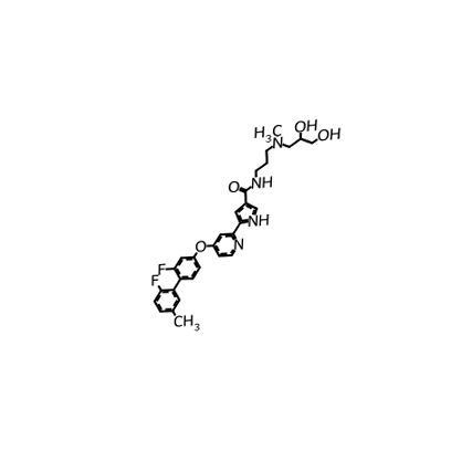 Cc1ccc(F)c(-c2ccc(Oc3ccnc(-c4cc(C(=O)NCCCN(C)CC(O)CO)c[nH]4)c3)cc2F)c1